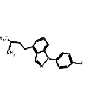 C[C@H](N)CCc1cccc2c1cnn2-c1ccc(F)cc1